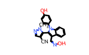 Cn1ncc(C#N)c1-c1c(/C=N\O)c2ccccc2n1-c1ccc(O)cc1